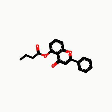 CCCC(=O)Oc1cccc2oc(-c3ccccc3)cc(=O)c12